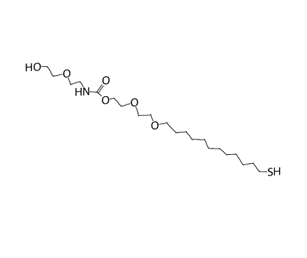 O=C(NCCOCCO)OCCOCCOCCCCCCCCCCCCS